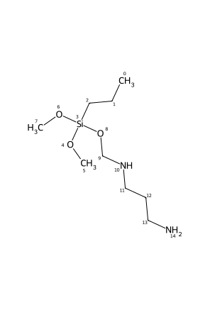 CCC[Si](OC)(OC)OCNCCCN